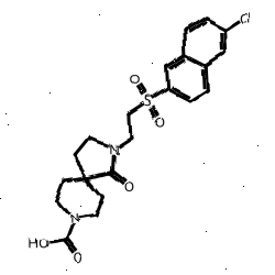 O=C(O)N1CCC2(CC1)CCN(CCS(=O)(=O)c1ccc3cc(Cl)ccc3c1)C2=O